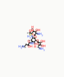 C[C@@](O)(S)C1O[C@H](O[C@H]2C(N)C[C@@H](NC(=O)[C@@H](O)CCN)C(O)C2O[C@@H]2O[C@H](CN)C(O)C2O)C(N)C(O)[C@@H]1O